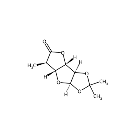 C[C@H]1C(=O)O[C@@H]2[C@H]3OC(C)(C)O[C@H]3O[C@@H]21